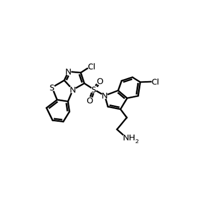 NCCc1cn(S(=O)(=O)c2c(Cl)nc3sc4ccccc4n23)c2ccc(Cl)cc12